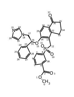 COC(=O)c1cccc(S(=O)(=O)Cc2c(O[C@H](Cn3ccnc3)c3ccccc3)ccc3c2CCCC3=O)c1